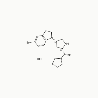 Cl.O=C([C@@H]1C[C@H](N2CCc3cc(Br)ccc32)CN1)N1CCSC1